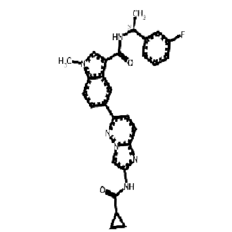 C[C@H](NC(=O)c1cn(C)c2ccc(-c3ccc4nc(NC(=O)C5CC5)cn4n3)cc12)c1cccc(F)c1